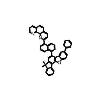 CC1(C)c2ccccc2-c2c1cc(-c1cccc3c(-c4ccc5ccc6cccnc6c5n4)cccc13)c1c2oc2ccc(-c3ccccc3)cc21